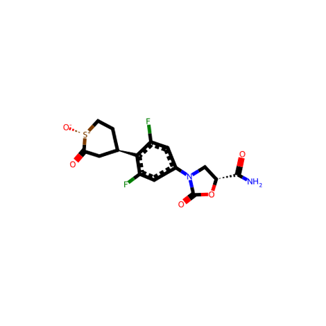 NC(=O)[C@H]1CN(c2cc(F)c([C@@H]3CC[S@@+]([O-])C(=O)C3)c(F)c2)C(=O)O1